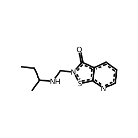 CCC(C)NCn1sc2ncccc2c1=O